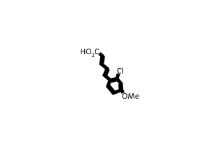 COc1ccc(C=CC=CC(=O)O)c(Cl)c1